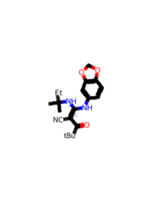 CCC(C)(C)N/C(Nc1ccc2c(c1)OCO2)=C(\C#N)C(=O)C(C)(C)C